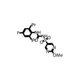 COc1ncc(S(=O)(=O)NC(=O)Nc2c(C(C)C)cc(F)cc2C(C)C)cn1